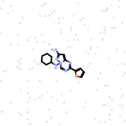 NC1=N[N+]2(NC3CCCCC3)C=NC(c3ccco3)=NC2=C1